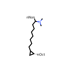 CCCCCCCCCC(CCCCCCCC1C[C@H]1CCCCCCCC)N(C)C